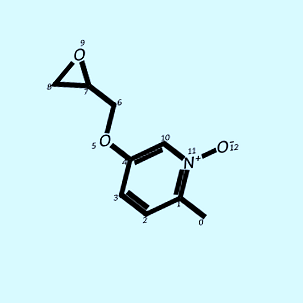 Cc1ccc(OCC2CO2)c[n+]1[O-]